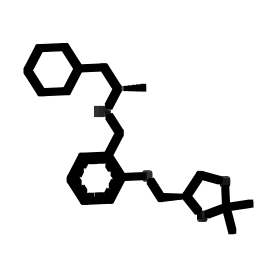 C[C@@H](CC1CCCCC1)NCc1ccccc1OC[C@H]1COC(C)(C)O1